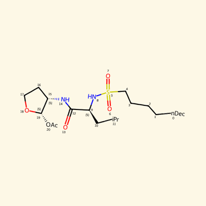 CCCCCCCCCCCCCCS(=O)(=O)N[C@@H](CC(C)C)C(=O)N[C@H]1CCO[C@H]1OC(C)=O